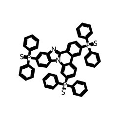 S=P(c1ccccc1)(c1ccccc1)c1ccc2c(c1)nc1c3ccc(P(=S)(c4ccccc4)c4ccccc4)cc3c3ccc(P(=S)(c4ccccc4)c4ccccc4)cc3n21